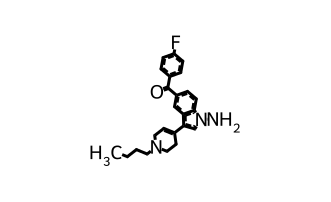 CCCCN1CC=C(c2cn(N)c3ccc(C(=O)c4ccc(F)cc4)cc23)CC1